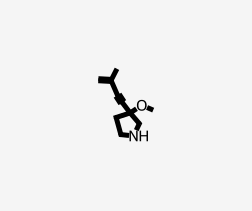 C=C(C)C#CC1(OC)CCNC1